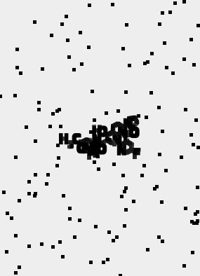 CC(C)C[C@@H](NC(=O)c1cn(-c2ncc(F)cc2F)c2nc(N3CCCC3=O)ccc2c1=O)C(F)(F)F